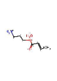 CC=CC(=O)OCCCN.O